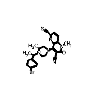 CC(c1ccc(Br)cc1)N1CCN(c2c(C#N)c(=O)n(C)c3ccc(C#N)nc23)C[C@H]1C